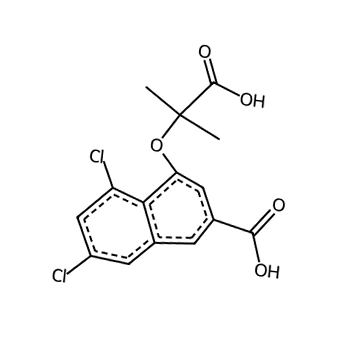 CC(C)(Oc1cc(C(=O)O)cc2cc(Cl)cc(Cl)c12)C(=O)O